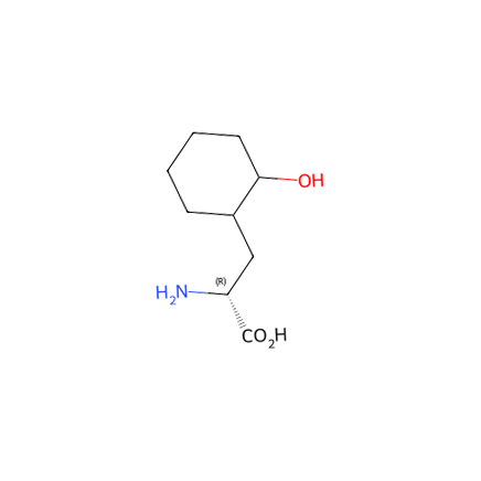 N[C@H](CC1CCCCC1O)C(=O)O